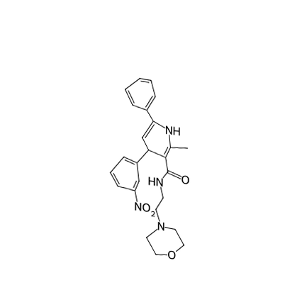 CC1=C(C(=O)NCCN2CCOCC2)C(c2cccc([N+](=O)[O-])c2)C=C(c2ccccc2)N1